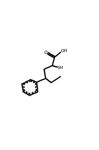 CCC(CC(S)C(=O)O)c1ccccc1